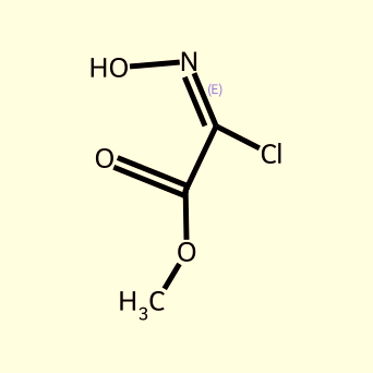 COC(=O)/C(Cl)=N\O